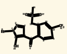 CCn1ncc(C(=O)c2ccc(C(F)(F)F)cc2CS(C)(=O)=O)c1O